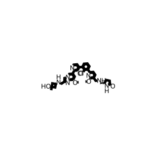 COc1nc(-c2cccc(-c3ccnc(-c4cc(OC)c5nc(CNC6CC(C)(O)C6)cn5c4)c3Cl)c2Cl)ccc1CNC[C@H]1CCC(=O)N1